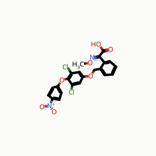 CO/N=C(/C(=O)O)c1ccccc1COc1cc(Cl)c(Oc2ccc([N+](=O)[O-])cc2)c(Cl)c1